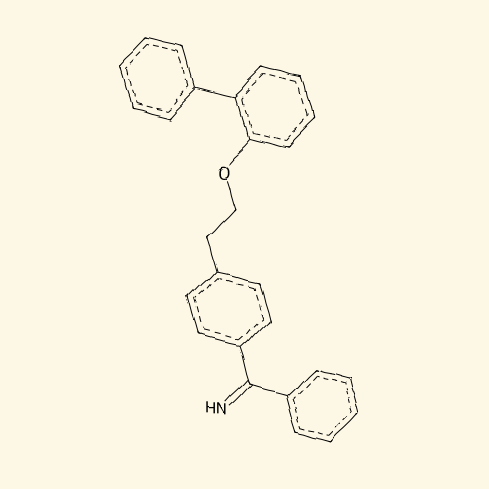 N=C(c1ccccc1)c1ccc(CCOc2ccccc2-c2ccccc2)cc1